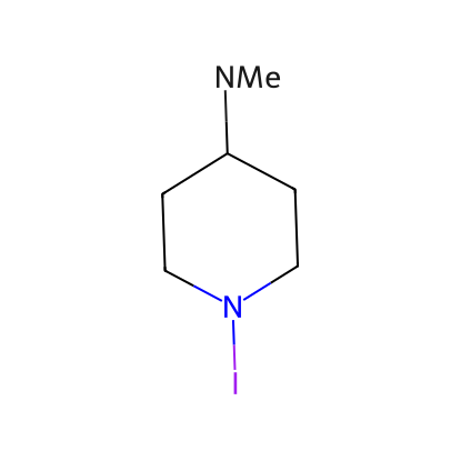 CNC1CCN(I)CC1